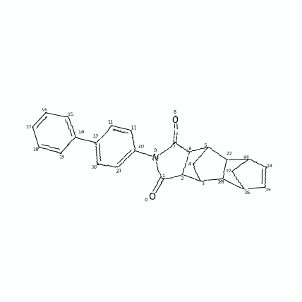 O=C1C2C3CC(C2C(=O)N1c1ccc(-c2ccccc2)cc1)C1C2C=CC(C2)C31